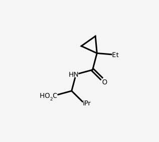 CCC1(C(=O)NC(C(=O)O)C(C)C)CC1